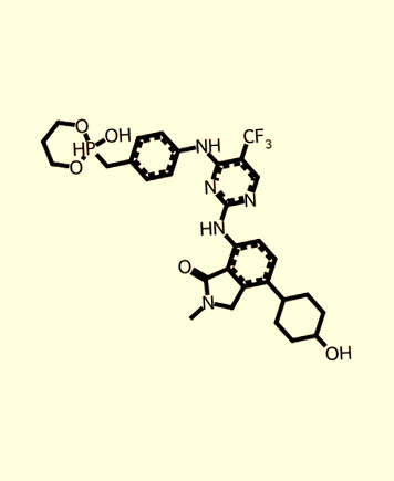 CN1Cc2c(C3CCC(O)CC3)ccc(Nc3ncc(C(F)(F)F)c(Nc4ccc(C[PH]5(O)OCCCO5)cc4)n3)c2C1=O